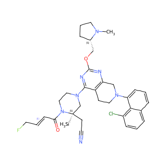 CN1CCC[C@H]1COc1nc2c(c(N3CCN(C(=O)/C=C/CF)[C@]([SiH3])(CC#N)C3)n1)CCN(c1cccc3cccc(Cl)c13)C2